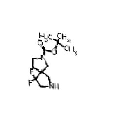 CC(C)(C)OC(=O)N1CCC2(CNCC2(F)F)C1